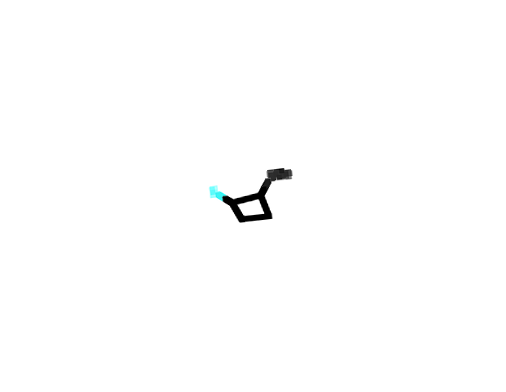 CSC1CCC1F